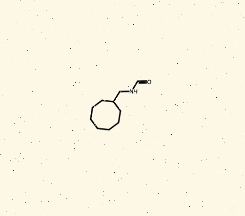 O=CNCC1CCCCCCC1